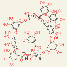 O=C(O[C@@H]1[C@H]2OC(=O)c3cc(O)c(O)c(O)c3Oc3cc4c(c(O)c3O)-c3c(cc(O)c(O)c3O)C(=O)O[C@H]3[C@H](OC(=O)c5cc(O)c(O)c(O)c5)[C@@H](OC(=O)c5cc(O)c(O)c(O)c5Oc5cc6c(c(O)c5O)-c5c(cc(O)c(O)c5O)OC[C@@H](O[C@H]2O)[C@H]1OC6=O)[C@H](O)O[C@@H]3COC4=O)c1cc(O)c(O)c(O)c1